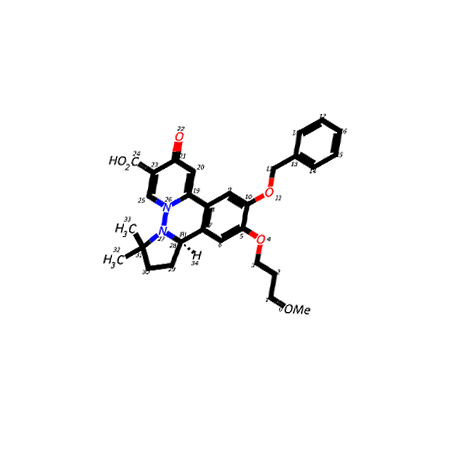 COCCCOc1cc2c(cc1OCc1ccccc1)-c1cc(=O)c(C(=O)O)cn1N1[C@@H]2CCC1(C)C